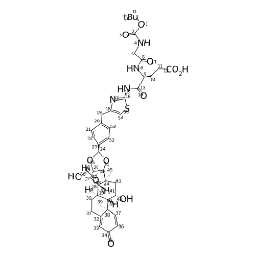 CC(C)(C)OC(=O)NCC(=O)N[C@@H](CCC(=O)O)C(=O)Nc1nc(Cc2ccc([C@@H]3O[C@@H]4C[C@H]5[C@@H]6CCC7=CC(=O)C=C[C@]7(C)[C@H]6[C@@H](O)C[C@]5(C)[C@]4(C(=O)CO)O3)cc2)cs1